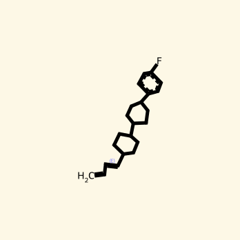 C=C/C=C/C1CCC(C2CCC(c3ccc(F)cc3)CC2)CC1